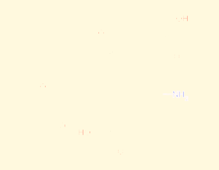 NCCCC(=O)O.O=C(O)CCC(=O)c1ccc2c(c1)OCCO2